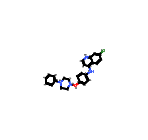 Clc1ccc2c(Nc3ccc(ON4CCN(c5ccccc5)CC4)cc3)ccnc2c1